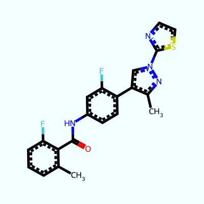 Cc1cccc(F)c1C(=O)Nc1ccc(-c2cn(-c3nccs3)nc2C)c(F)c1